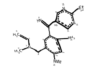 C=CN(C)Cc1cc(C(=N)c2cnc(CC)nc2)c(N)cc1NC